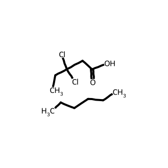 CCC(Cl)(Cl)CC(=O)O.CCCCCC